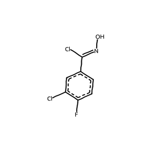 O/N=C(\Cl)c1ccc(F)c(Cl)c1